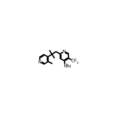 Cc1cnccc1C(C)(C)Cc1cc(C(C)(C)C)c(C(F)(F)F)cn1